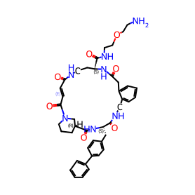 NCCOCCNC(=O)[C@@H]1CCNC(=O)/C=C/C(=O)N2CCC[C@H](C2)C(=O)N[C@@H](Cc2ccc(-c3ccccc3)cc2)C(=O)NCc2ccccc2CC(=O)N1